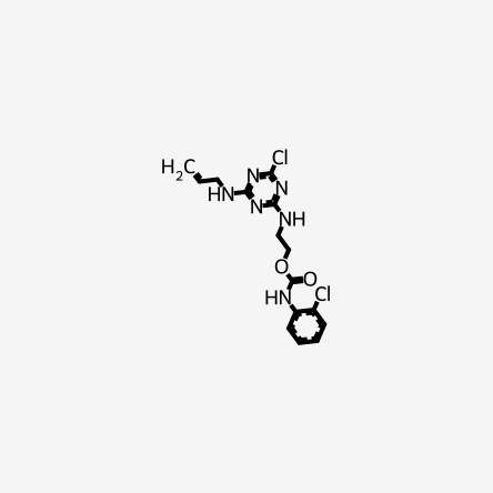 C=CCNc1nc(Cl)nc(NCCOC(=O)Nc2ccccc2Cl)n1